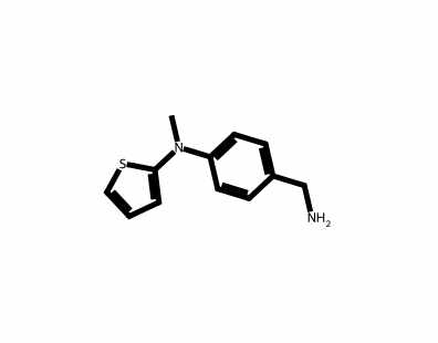 CN(c1ccc(CN)cc1)c1cccs1